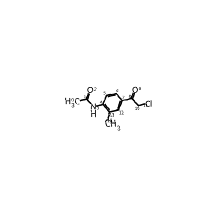 CC(=O)Nc1ccc(C(=O)CCl)cc1C